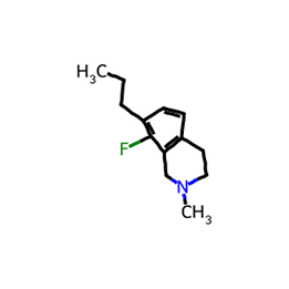 CCCc1ccc2c(c1F)CN(C)CC2